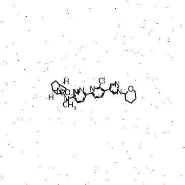 CN(c1ccc(-c2ccc(-c3cnn(C4CCCCO4)c3)c(Cl)n2)nn1)[C@H]1C[C@H]2CC[C@@H](C1)N2C(=O)O